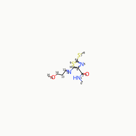 CNC(=O)c1nc(SC)sc1/N=C/CCOC